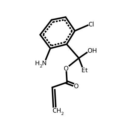 C=CC(=O)OC(O)(CC)c1c(N)cccc1Cl